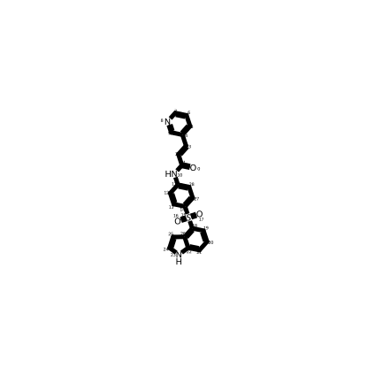 O=C(/C=C/c1cccnc1)Nc1ccc(S(=O)(=O)c2cccc3[nH]ccc23)cc1